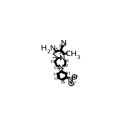 CC(=C(C#N)C(N)=S)N1CCCN(c2cccc([N+](=O)[O-])c2)CC1